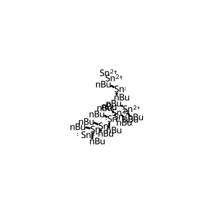 CCC[CH2][Sn+2][CH2]CCC.CCC[CH2][Sn+2][CH2]CCC.CCC[CH2][Sn+2][CH2]CCC.CCC[CH2][Sn][CH2]CCC.CCC[CH2][Sn][CH2]CCC.CCC[CH2][Sn][CH2]CCC.CCC[CH2][Sn][CH2]CCC.[Sn+2].[Sn+2].[Sn+2]